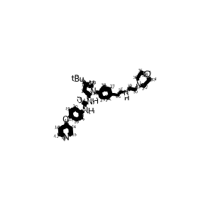 CC(C)(C)c1cc(NC(=O)Nc2ccc(Oc3ccncc3)cc2)n(-c2ccc(CCNCCN3CCOCC3)cc2)n1